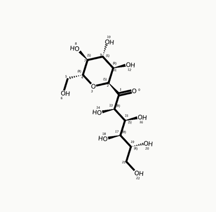 O=C([C@H]1O[C@H](CO)[C@@H](O)[C@H](O)[C@H]1O)[C@H](O)[C@@H](O)[C@H](O)[C@H](O)CO